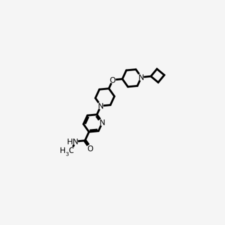 CNC(=O)c1ccc(N2CCC(OC3CCN(C4CCC4)CC3)CC2)nc1